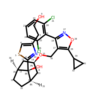 OCCc1csc([C@]2(O)[C@@H]3CC[C@H]2C[C@@H](OCc2c(-c4c(Cl)cccc4Cl)noc2C2CC2)C3)n1